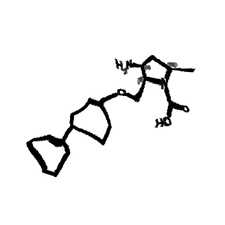 C[C@@H]1C[C@H](N)[C@H](COC2CCC(c3ccccc3)CC2)N1C(=O)O